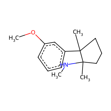 CNC1(C)CCCC1(C)c1cccc(OC)c1